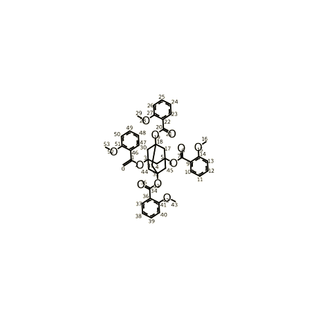 C=C(OC12CC3(OC(=O)c4ccccc4OC)CC(OC(=O)c4ccccc4OC)(C1)CC(OC(=O)c1ccccc1OC)(C2)C3)c1ccccc1OC